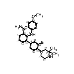 COc1ccc(Nc2c(C(N)=O)cccc2-c2ccc(N3CCNC(C)(C)C3)c(Br)c2)cc1